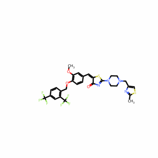 COc1cc(C=C2SC(N3CCN(Cc4csc(C)n4)CC3)=NC2=O)ccc1OCc1ccc(C(F)(F)F)cc1C(F)(F)F